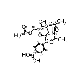 CC(=O)N[C@@H]1C(Oc2ccc(B(O)O)cc2)OC(COC(C)=O)C(O)C1OC(C)=O